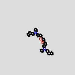 c1ccc(N(c2ccc3c(ccc4ccccc43)c2)c2ccc3c(ccc4c5ccc6c7ccc8cc(N(c9ccccc9)c9ccc%10c(ccc%11ccccc%11%10)c9)ccc8c7oc6c5oc34)c2)cc1